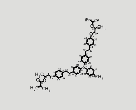 C=C(C)C(=O)OC(C)COc1ccc(CCc2ccc(N(c3ccc(C)cc3)c3ccc(CCc4ccc(OCC(C)OC(=O)C(C)C)cc4)cc3)cc2)cc1